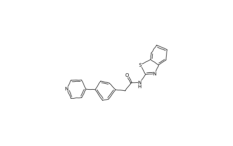 O=C(Cc1ccc(-c2ccncc2)cc1)Nc1nc2ccccc2s1